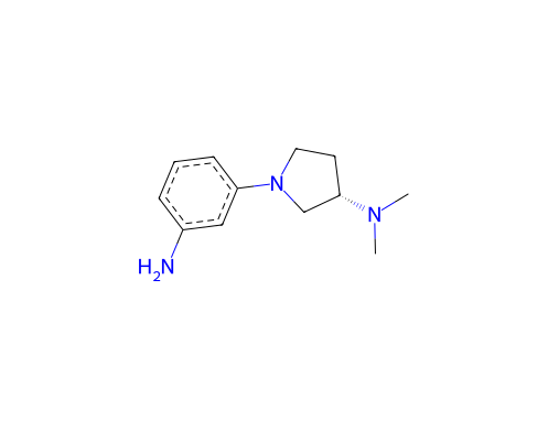 CN(C)[C@H]1CCN(c2cccc(N)c2)C1